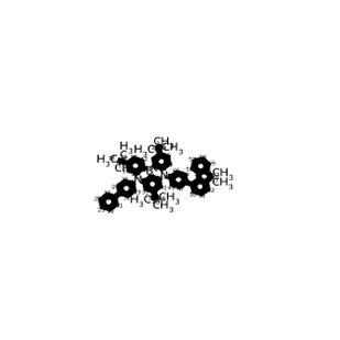 CC(C)(C)c1ccc2c(c1)B1c3ccc(C(C)(C)C)cc3N(c3ccc(-c4ccccc4)cc3)c3cc(C(C)(C)C)cc(c31)N2c1ccc(-c2cccc3c2-c2ccccc2C3(C)C)cc1